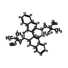 CC(C)(C)[Si](C)(C)OC1Cc2c3c(cc4ccccc24)C(O[Si](C)(C)C(C)(C)C)Cc2c-3c1cc1ccccc21